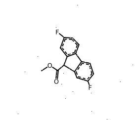 COC(=O)C1c2cc(F)ccc2-c2ccc(F)cc21